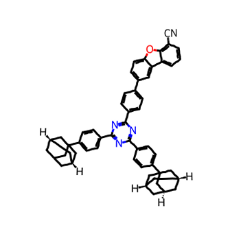 N#Cc1cccc2c1oc1ccc(-c3ccc(-c4nc(-c5ccc(C67CC8C[C@H](C6)C[C@@H](C8)C7)cc5)nc(-c5ccc(C67C[C@H]8C[C@@H](C6)C[C@@H](C7)C8)cc5)n4)cc3)cc12